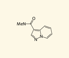 CNC(=O)c1cnn2ccccc12